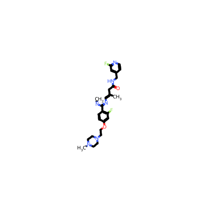 C=N/C(=N\C=C(/C)CC(=O)NCc1ccnc(F)c1)c1ccc(OCCN2CCN(C)CC2)cc1F